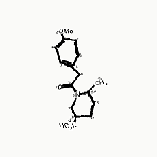 COc1ccc(CC(=O)N2C[C@H](C(=O)O)CC[C@@H]2C)cc1